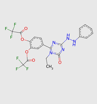 CCn1c(-c2ccc(OC(=O)C(F)(F)F)c(OC(=O)C(F)(F)F)c2)nc(NNc2ccccc2)nc1=O